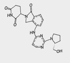 O=C1CCC(N2Cc3c(Nc4ccnc(N5CCC[C@@H]5CO)n4)cccc3C2=O)C(=O)N1